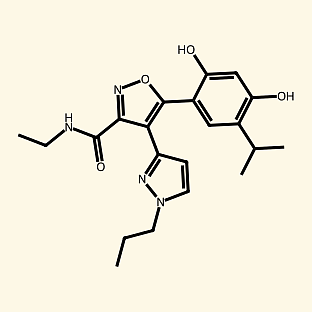 CCCn1ccc(-c2c(C(=O)NCC)noc2-c2cc(C(C)C)c(O)cc2O)n1